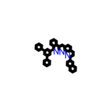 c1ccc(-c2cc(-c3ccccc3)cc(-c3nc4nc5c(ccc6ccc(-c7ccc8ccccc8c7)nc65)cc4c4ccccc34)c2)cc1